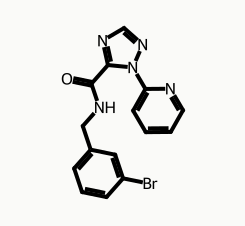 O=C(NCc1cccc(Br)c1)c1ncnn1-c1ccccn1